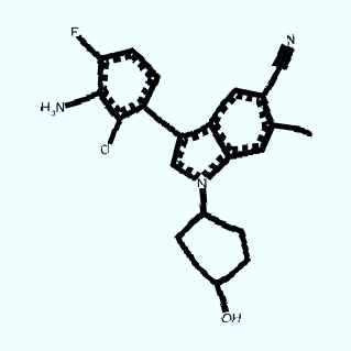 Cc1cc2c(cc1C#N)c(-c1ccc(F)c(N)c1Cl)cn2C1CCC(O)CC1